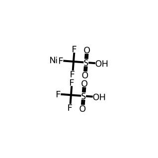 O=S(=O)(O)C(F)(F)F.O=S(=O)(O)C(F)(F)F.[Ni]